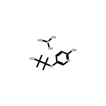 CC(C)(O)C(C)(C)Oc1ccc(O)nc1.OB(O)O